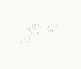 CC(CNS(N)(=O)=O)Oc1nonc1/C(=N\O)Nc1ccc(F)c(Cl)c1